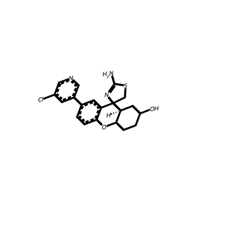 NC1=NC2(CS1)c1cc(-c3cncc(Cl)c3)ccc1OC1CCC(O)C[C@@H]12